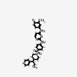 Cc1cc(Nc2ccnc(Nc3ccc(S(=O)(=O)N4CCC(C(CO)c5ccncc5)CC4)cc3)n2)ccc1F